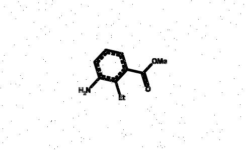 CCc1c(N)cccc1C(=O)OC